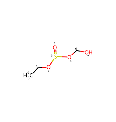 CCOS(=O)OCO